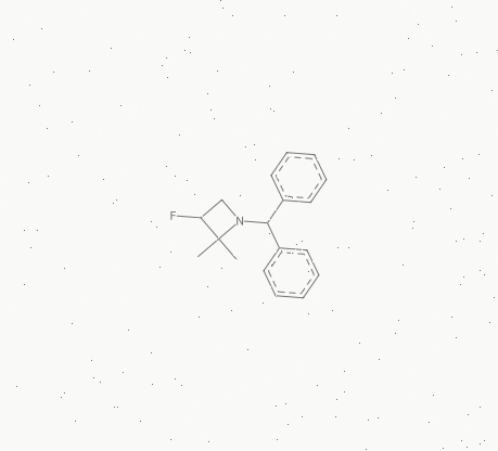 CC1(C)C(F)CN1C(c1ccccc1)c1ccccc1